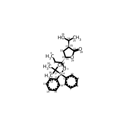 CCC(O[Si](c1ccccc1)(c1ccccc1)C(C)(C)C)[C@@H]1C[C@@H](C(C)O)C(=O)O1